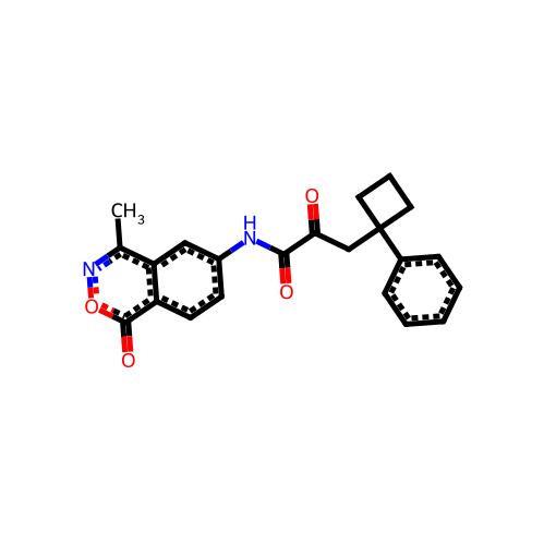 Cc1noc(=O)c2ccc(NC(=O)C(=O)CC3(c4ccccc4)CCC3)cc12